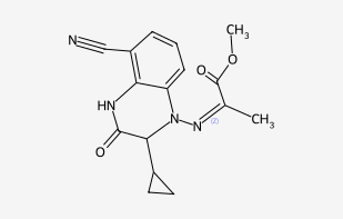 COC(=O)/C(C)=N\N1c2cccc(C#N)c2NC(=O)C1C1CC1